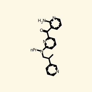 CCCN(CC(C)c1cccnc1)c1cccc(C(=O)c2cccnc2N)n1